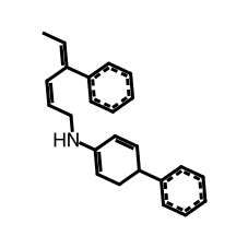 C/C=C(\C=C/CNC1=CCC(c2ccccc2)C=C1)c1ccccc1